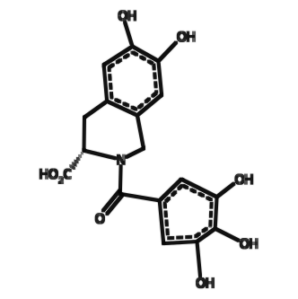 O=C(O)[C@@H]1Cc2cc(O)c(O)cc2CN1C(=O)c1cc(O)c(O)c(O)c1